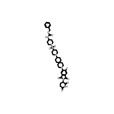 O=C1CCC(N2C(=O)c3cc(F)c(N4CCC5(CCC(N6CCC(S(=O)(=O)N7CCC(NC(=O)OCc8ccccc8)CC7)CC6)CC5)CC4)cc3C2=O)C(=O)N1